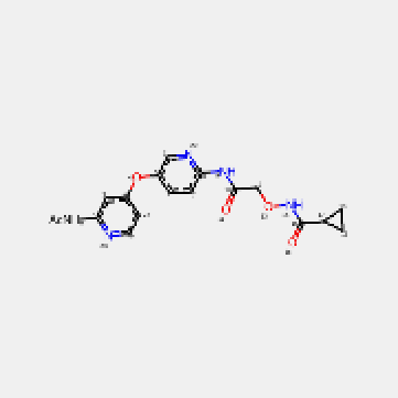 CC(=O)Nc1cc(Oc2ccc(NC(=O)CONC(=O)C3CC3)nc2)ccn1